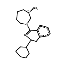 N[C@@H]1CCCCN(C2=NN(C3CCCCC3)Cc3ccccc32)C1